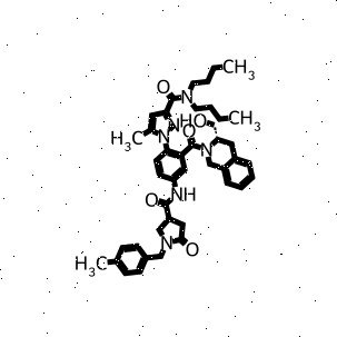 CCCCN(CCCC)C(=O)c1cc(C)n(-c2ccc(NC(=O)C3CC(=O)N(Cc4ccc(C)cc4)C3)cc2C(=O)N2Cc3ccccc3C[C@H]2CO)n1